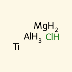 Cl.[AlH3].[MgH2].[Ti]